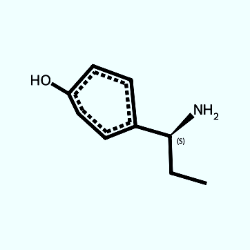 CC[C@H](N)c1ccc(O)cc1